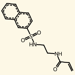 C=CC(=O)NCCNS(=O)(=O)c1ccc2ccccc2c1